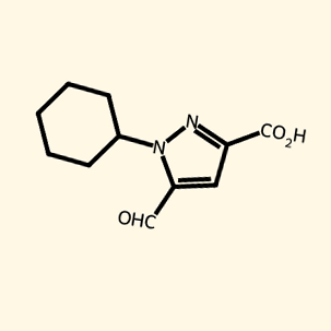 O=Cc1cc(C(=O)O)nn1C1CCCCC1